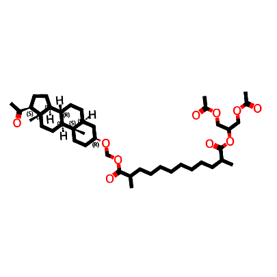 CC(=O)OCC(COC(C)=O)OC(=O)C(C)CCCCCCCCC(C)C(=O)OCO[C@@H]1CC[C@@]2(C)[C@@H](CC[C@@H]3[C@@H]2CC[C@]2(C)[C@@H](C(C)=O)CC[C@@H]32)C1